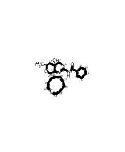 C[C@H]1C[C@@]2(C)CSC(NC(=O)c3ccccc3)=N[C@@]2(c2ccccccccc2)CO1